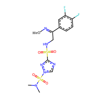 CO/N=C(\CNS(=O)(=O)c1ncn(S(=O)(=O)N(C)C)n1)c1ccc(F)c(F)c1